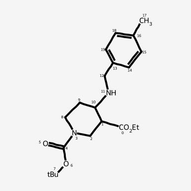 CCOC(=O)C1CN(C(=O)OC(C)(C)C)CCC1NCc1ccc(C)cc1